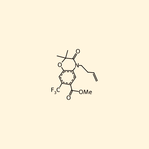 C=CCCN1C(=O)C(C)(C)Oc2cc(C(F)(F)F)c(C(=O)OC)cc21